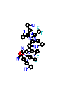 N#Cc1ccccc1-c1ccc2c(c1)c1cc(-c3ccccc3C#N)ccc1n2-c1cc(-c2cc(F)cc(F)c2)cc(-n2c3ccc(-c4ccccc4C#N)cc3c3cc(-c4cccc(-c5cc(-c6ccccc6C#N)cc6c5c5ccc(-c7ccccc7C#N)cc5n6-c5cc(-c6cc(F)cc(F)c6)cc(-n6c7cc(-c8ccccc8C#N)ccc7c7ccc(-c8ccccc8C#N)cc76)c5C#N)c4C#N)ccc32)c1C#N